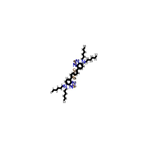 CCCCCCN(CCCCCC)c1ccc(-c2cc3sc(-c4ccc(N(CCCCCC)CCCCCC)c5nsnc45)cc3s2)c2nsnc12